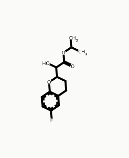 CC(C)OC(=O)C(O)C1CCc2cc(F)ccc2O1